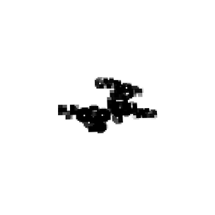 COCC(=O)N[C@@H](CC(C)C)C(=O)N[C@@H](CCSC)C(=O)Nc1ccc2c(c1)Oc1cc(N)ccc1C21OCc2ccccc21